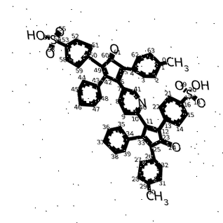 Cc1ccc(C2=C(c3ccc(C4=C(c5ccc(S(=O)(=O)O)cc5)C(=O)C(c5ccc(C)cc5)=C4c4ccccc4)nc3)C(c3ccccc3)=C(c3ccc(S(=O)(=O)O)cc3)C2=O)cc1